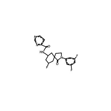 O=C(NC1CC(F)CC2(CCN(c3cc(F)cc(F)c3)C2=O)C1)c1ccncn1